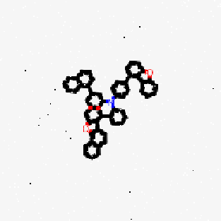 c1cc(-c2cccc3ccccc23)cc(N(c2ccc(-c3cccc4oc5ccccc5c34)cc2)c2ccccc2-c2cccc3oc4c5ccccc5ccc4c23)c1